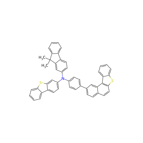 CC1(C)c2ccccc2-c2ccc(N(c3ccc(-c4ccc5ccc6sc7ccccc7c6c5c4)cc3)c3ccc4c(c3)sc3ccccc34)cc21